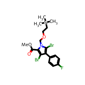 COC(=O)c1c(Br)c(-c2ccc(F)cc2)c(Br)n1COCC[Si](C)(C)C